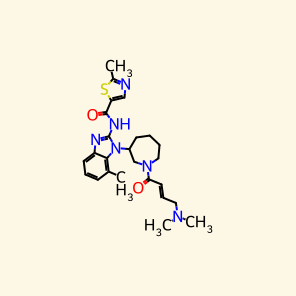 Cc1ncc(C(=O)Nc2nc3cccc(C)c3n2C2CCCCN(C(=O)C=CCN(C)C)C2)s1